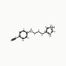 C#Cc1ccc(OCCCc2c[nH]cn2)cc1